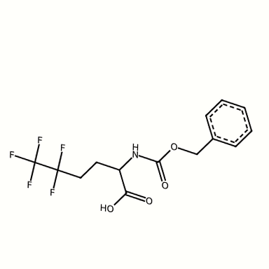 O=C(NC(CCC(F)(F)C(F)(F)F)C(=O)O)OCc1ccccc1